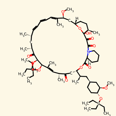 CC[Si](CC)(CC)O[C@@H]1/C(C)=C/[C@@H](C)C(=O)C[C@@H]([C@H](C)C[C@@H]2CC[C@@H](O[Si](CC)(CC)CC)[C@H](OC)C2)OC(=O)[C@@H]2CCCCN2C(=O)C(=O)[C@]2(O)O[C@@H](CC[C@H]2C)C[C@H](OC)/C(C)=C/C=C/C=C/[C@@H](C)C[C@@H](C)C(=O)[C@@H]1OC